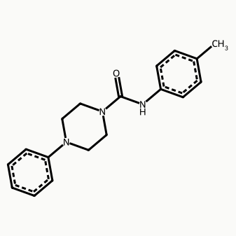 Cc1ccc(NC(=O)N2CCN(c3ccccc3)CC2)cc1